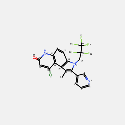 Cc1c(-c2cccnc2)n(CC(F)(F)C(F)(F)F)c2ccc3[nH]c(=O)cc(Cl)c3c12